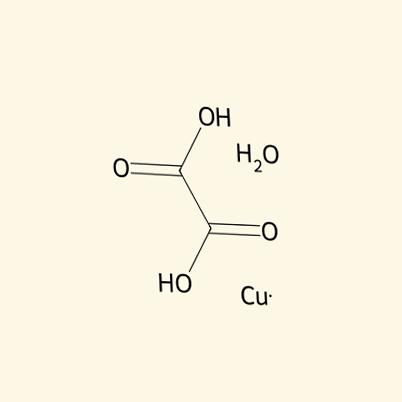 O.O=C(O)C(=O)O.[Cu]